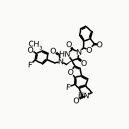 COc1ccc(CN(C=O)C[C@@]2(c3cc4cc5c(c(F)c4o3)C(=O)NC5)NC(=O)N(C3OC(=O)c4ccccc43)C2=O)cc1F